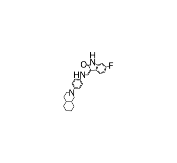 O=C1Nc2cc(F)ccc2C1=CNc1ccc(N2CCC3CCCCC3C2)cc1